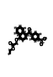 CCOC(=O)COc1ccc(C(=O)c2ccc([N+](=O)[O-])cc2)c2ccccc12